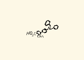 O=C(O)c1ccc(-c2ccc(N(Cc3ccccc3)Cc3ccccc3)cc2)cc1O